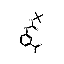 CC(=O)c1cccc(NC(=O)NC(C)(C)C)c1